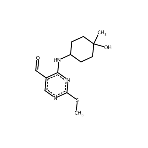 CSc1ncc(C=O)c(NC2CCC(C)(O)CC2)n1